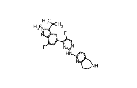 C=C(C)c1c2cc(-c3nc(Nc4ccc5c(n4)CCNC5)ncc3F)cc(F)c2nn1C